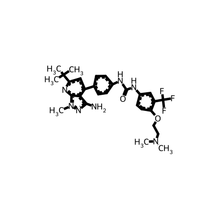 CN(C)CCOc1ccc(NC(=O)Nc2ccc(-c3cc(C(C)(C)C)nc4c3c(N)nn4C)cc2)cc1C(F)(F)F